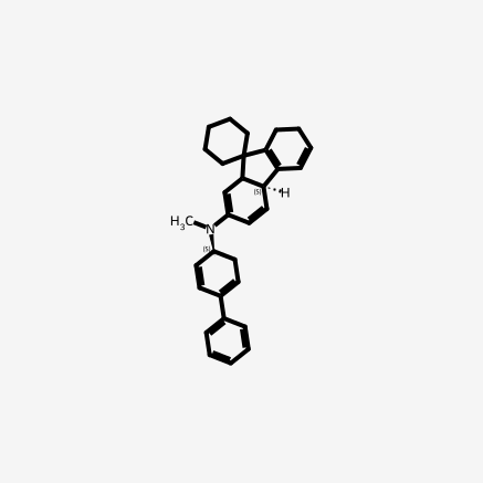 CN(C1=CC2[C@H](C=C1)C1=C(CCC=C1)C21CCCCC1)[C@@H]1C=CC(c2ccccc2)=CC1